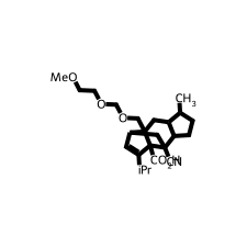 COCCOCOCC12CC3C(C)CCC3C3(C#N)CC1C=C(C(C)C)C32C(=O)O